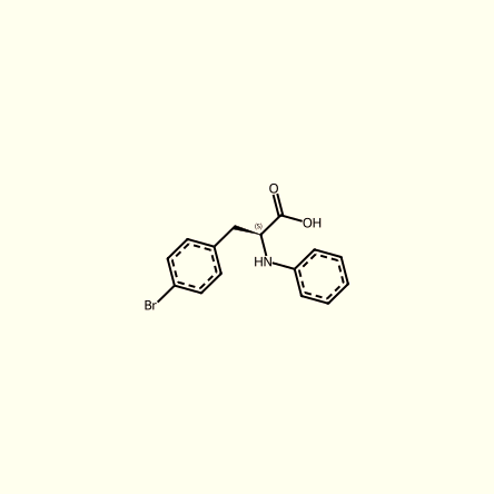 O=C(O)[C@H](Cc1ccc(Br)cc1)Nc1ccccc1